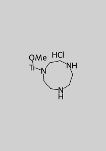 C[O][Ti][N]1CCNCCNCC1.Cl